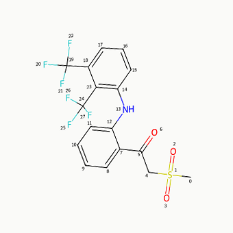 CS(=O)(=O)CC(=O)c1ccccc1Nc1cccc(C(F)(F)F)c1C(F)(F)F